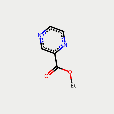 CCOC(=O)c1cnc[c]n1